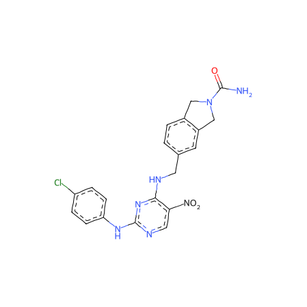 NC(=O)N1Cc2ccc(CNc3nc(Nc4ccc(Cl)cc4)ncc3[N+](=O)[O-])cc2C1